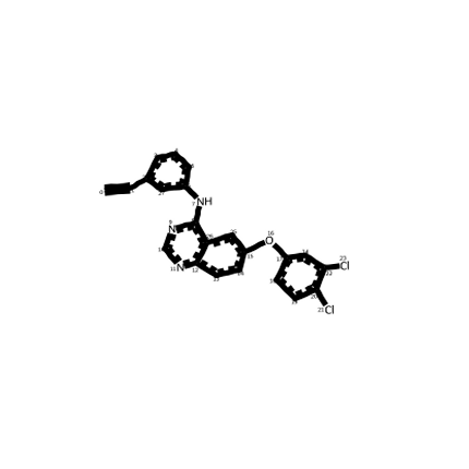 C#Cc1cccc(Nc2ncnc3ccc(Oc4ccc(Cl)c(Cl)c4)cc23)c1